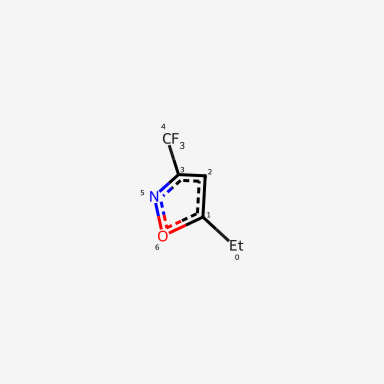 CCc1cc(C(F)(F)F)no1